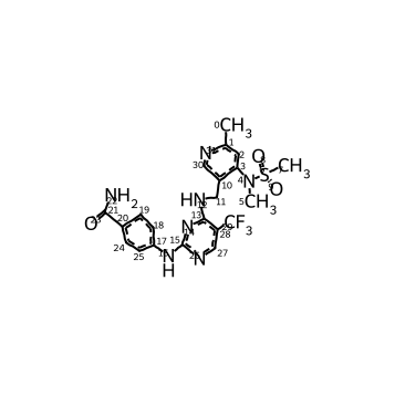 Cc1cc(N(C)S(C)(=O)=O)c(CNc2nc(Nc3ccc(C(N)=O)cc3)ncc2C(F)(F)F)cn1